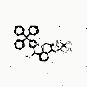 CC(c1cn(C(c2ccccc2)(c2ccccc2)c2ccccc2)cn1)c1cccc2c1OCCC2O[Si](C)(C)C(C)(C)C